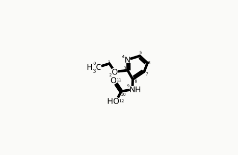 CCOc1ncccc1NC(=O)O